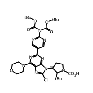 CC(C)(C)OC(=O)N(C(=O)OC(C)(C)C)c1ncc(-c2nc(N3CCOCC3)c3nc(Cl)n([C@H]4CCN(C(=O)O)C4C(C)(C)C)c3n2)cn1